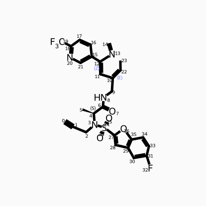 C#CCN([C@@H](C)C(=O)NCC(/C=C(\N=C)c1ccc(C(F)(F)F)nc1)=C/C)S(=O)(=O)c1cc2cc(F)ccc2o1